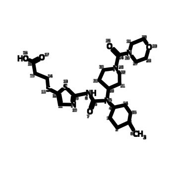 CC1CCC(N(C(=O)Nc2ncc(SCCC(=O)O)s2)C2CCN(C(=O)N3CCOCC3)CC2)CC1